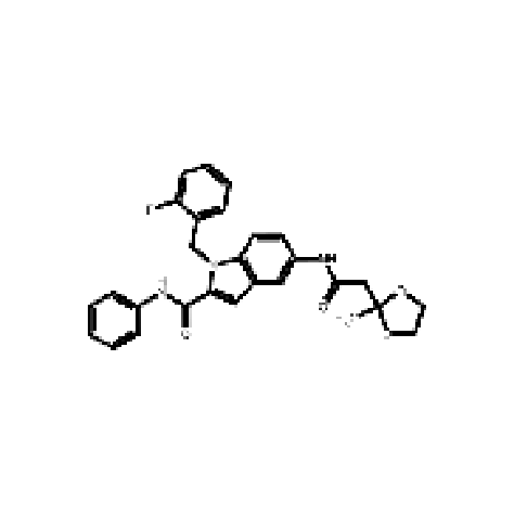 CC1(CC(=O)Nc2ccc3c(c2)cc(C(=O)Nc2ccccc2)n3Cc2ccccc2F)OCCO1